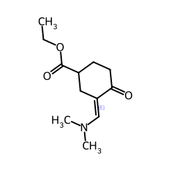 CCOC(=O)C1CCC(=O)/C(=C/N(C)C)C1